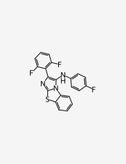 Fc1ccc(Nc2c(-c3c(F)cccc3F)nc3sc4ccccc4n23)cc1